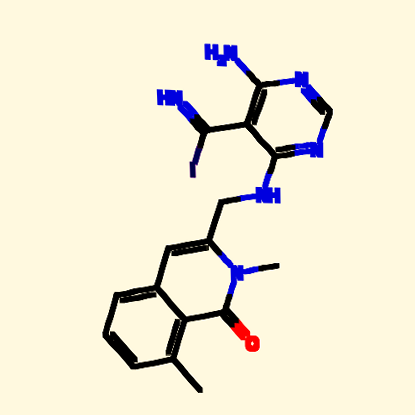 Cc1cccc2cc(CNc3ncnc(N)c3C(=N)I)n(C)c(=O)c12